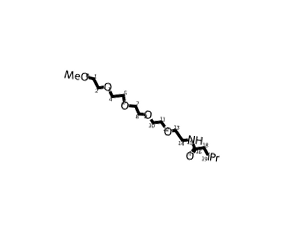 COCCOCCOCCOCCOCCNC(=O)CC(C)C